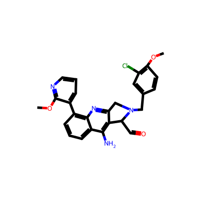 COc1ccc(CN2Cc3nc4c(-c5cccnc5OC)cccc4c(N)c3C2C=O)cc1Cl